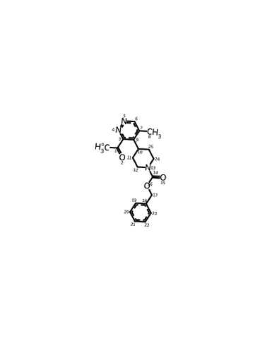 CC(=O)c1nncc(C)c1C1CCN(C(=O)OCc2ccccc2)CC1